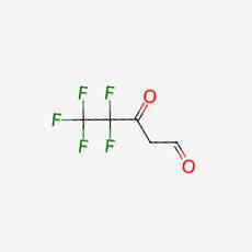 O=CCC(=O)C(F)(F)C(F)(F)F